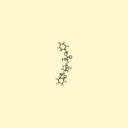 O=C(NCC12CCC(c3nc4ccccc4o3)(CC1)CC2)OCc1ccccc1